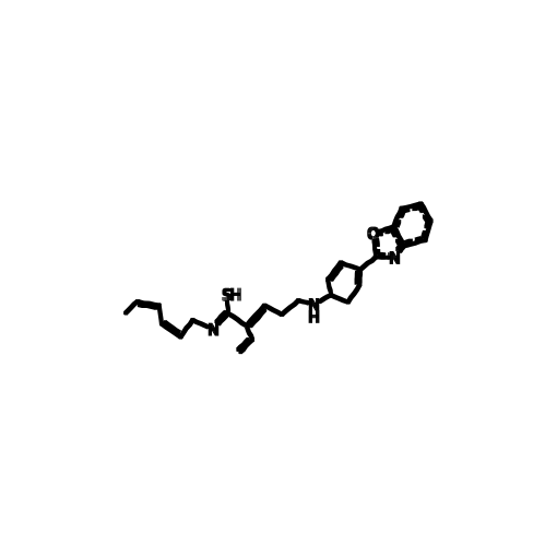 C=CC(=C\CCNC1C=CC(c2nc3ccccc3o2)=CC1)/C(S)=N/C/C=C\C=C/C